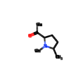 CC1CCC(C(=O)C(C)(C)C)N1C(C)(C)C